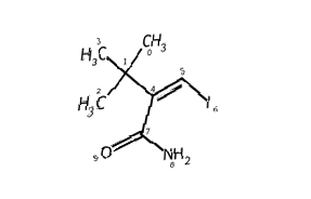 CC(C)(C)C(=CI)C(N)=O